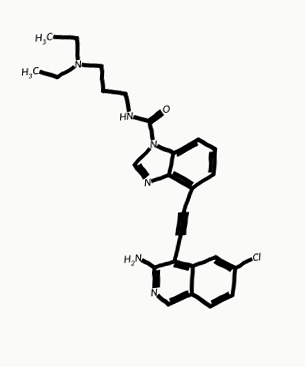 CCN(CC)CCCNC(=O)n1cnc2c(C#Cc3c(N)ncc4ccc(Cl)cc34)cccc21